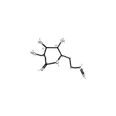 O=PCCC1OC(=O)C(O)C(O)C1O